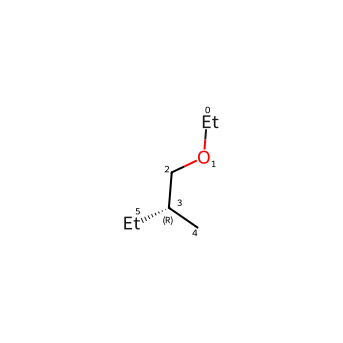 CCOC[C@H](C)CC